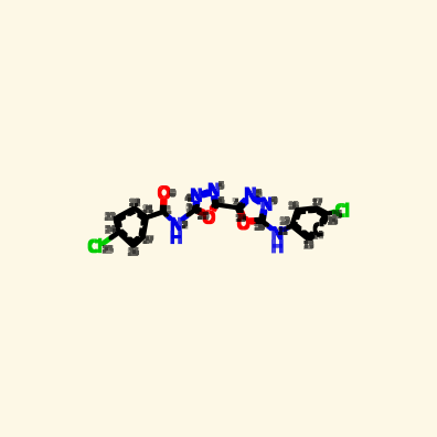 O=C(Nc1nnc(-c2nnc(Nc3ccc(Cl)cc3)o2)o1)c1ccc(Cl)cc1